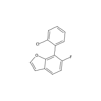 Fc1ccc2c[c]oc2c1-c1ccccc1Cl